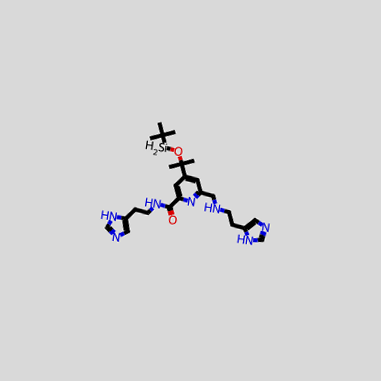 CC(C)(C)[SiH2]OC(C)(C)c1cc(CNCCc2cnc[nH]2)nc(C(=O)NCCc2cnc[nH]2)c1